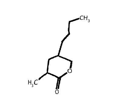 CCCCC1COC(=O)C(C)C1